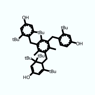 Cc1c(Cc2ccc(O)cc2C(C)(C)C)c(C)c(CC2C(C(C)(C)C)=CC(O)=CC2(C(C)(C)C)C(C)(C)C)c(C)c1Cc1c(C(C)(C)C)cc(O)cc1C(C)(C)C